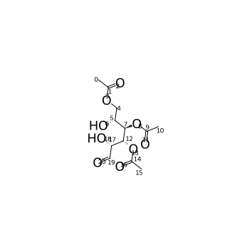 CC(=O)OC[C@@H](O)[C@@H](OC(C)=O)[C@H](OC(C)=O)[C@@H](O)C=O